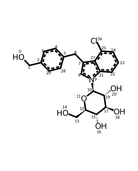 OCc1ccc(Cc2cn([C@@H]3O[C@H](CO)[C@@H](O)[C@H](O)[C@H]3O)c3cccc(Cl)c23)cc1